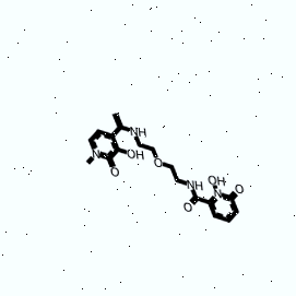 C=C(NCCOCCNC(=O)c1cccc(=O)n1O)c1ccn(C)c(=O)c1O